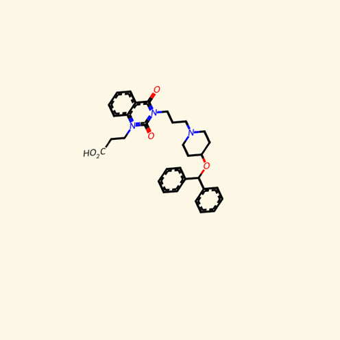 O=C(O)CCn1c(=O)n(CCCN2CCC(OC(c3ccccc3)c3ccccc3)CC2)c(=O)c2ccccc21